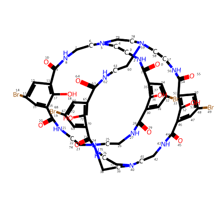 O=C1NCCN2CCNC(=O)c3cc(Br)cc(c3O)C(=O)NCCN(CCNC(=O)c3cc(Br)cc1c3O)CCN1CCNC(=O)c3cc(Br)cc(c3O)C(=O)NCCN(CCNC(=O)c3cc(Br)cc(c3O)C(=O)NCC1)CC2